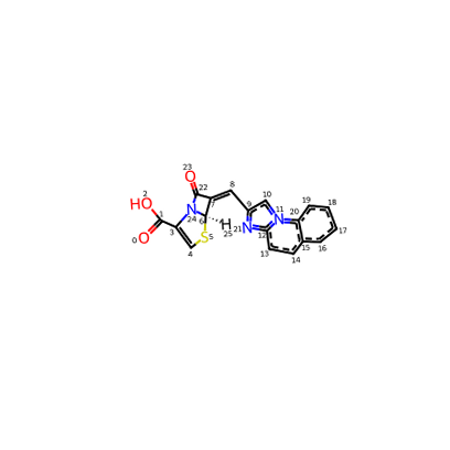 O=C(O)C1=CS[C@@H]2/C(=C\c3cn4c(ccc5ccccc54)n3)C(=O)N12